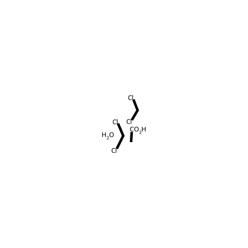 CC(=O)O.ClCCl.ClCCl.O